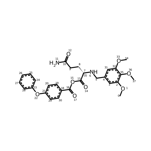 COc1cc(CN[C@@H](CCC(N)=O)C(=O)OC(=O)c2ccc(Oc3ccccc3)cc2)cc(OC)c1OC